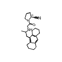 CC(Cc1c2c(cc3c1CCCC3)CCCC2)NCC(=O)N1CCC[C@H]1C#N